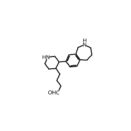 O=CCCCC1CCNCC1c1ccc2c(c1)CNCCC2